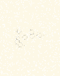 N#Cc1ccc(-c2ccc(-c3ccc(-c4c(-c5ccccn5)nc5ccc6ccccc6n45)cc3)c3ccccc23)cc1